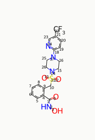 O=C(NO)c1ccccc1CS(=O)(=O)N1CCN(c2ccc(C(F)(F)F)cn2)CC1